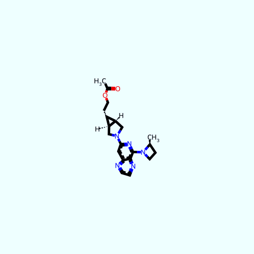 CC(=O)OCC[C@@H]1[C@H]2CN(c3cc4nccnc4c(N4CC[C@@H]4C)n3)C[C@@H]12